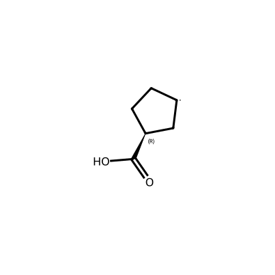 O=C(O)[C@@H]1C[CH]CC1